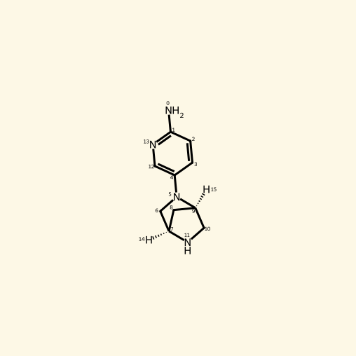 Nc1ccc(N2C[C@H]3C[C@@H]2CN3)cn1